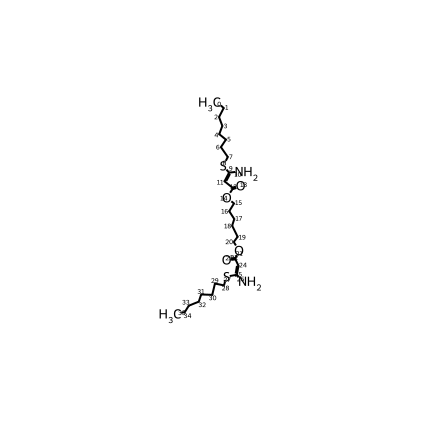 CCCCCCCCSC(N)=CC(=O)OCCCCCCOC(=O)C=C(N)SCCCCCCCC